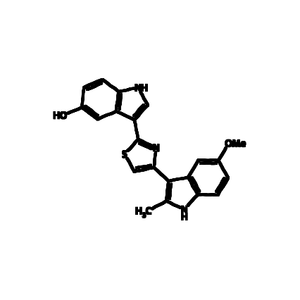 COc1ccc2[nH]c(C)c(-c3csc(-c4c[nH]c5ccc(O)cc45)n3)c2c1